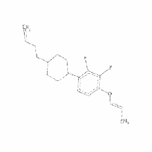 C=CCCC1CCC(c2ccc(O/C=C/C)c(F)c2F)CC1